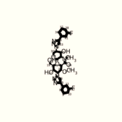 CO[C@@H]1[C@@H](n2cc(-c3cccc(F)c3)nn2)[C@@H](O)[C@@H](CO)O[C@H]1C(=O)N(C)[C@H]1COC[C@@H](n2cc(-c3cccc(F)c3)nn2)[C@@H]1O